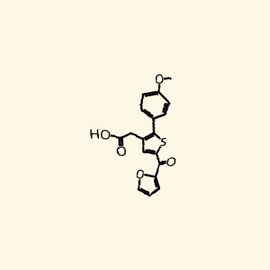 COc1ccc(-c2sc(C(=O)c3ccco3)cc2CC(=O)O)cc1